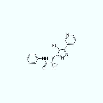 CCn1c(SC2(C(=O)Nc3ccccc3)CC2)nnc1-c1cccnc1